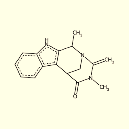 C=C1N(C)C(=O)C2CN1C(C)c1[nH]c3ccccc3c12